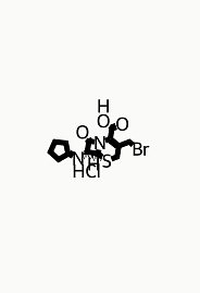 Cl.O=C(O)C1=C(CBr)CS[C@@H]2[C@H](N=C3CCCC3)C(=O)N12